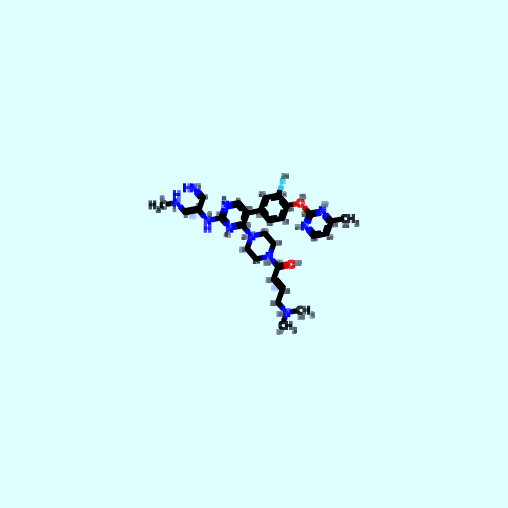 CN/C=C(\C=N)Nc1ncc(-c2ccc(Oc3nccc(C)n3)c(F)c2)c(N2CCN(C(=O)/C=C/CN(C)C)CC2)n1